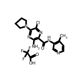 Cc1ccncc1NC(=O)c1nc(Cl)c(N2CCCC2)nc1N.O=C(O)C(F)(F)F